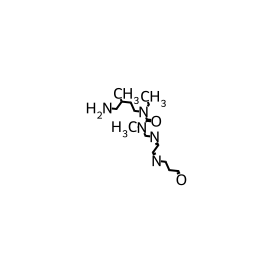 CCN(CCC(C)CN)C(=O)N(C)C/N=C\C=N/CCC=O